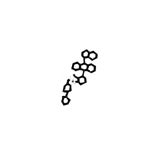 O=c1c2cc3oc4ccccc4c3cc2n2c3cccc(-c4c5ccccc5c(-c5cccc6ccccc56)c5ccccc45)c3c(=O)n12